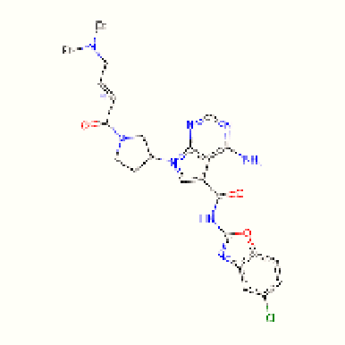 CCN(CC)C/C=C/C(=O)N1CCC(n2cc(C(=O)Nc3nc4cc(Cl)ccc4o3)c3c(N)ncnc32)C1